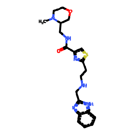 CN1CCOCC1CNC(=O)c1csc(CCNCc2nc3ccccc3[nH]2)n1